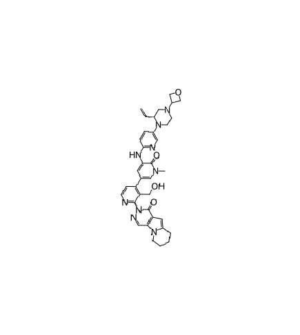 C=C[C@H]1CN(C2COC2)CCN1c1ccc(Nc2cc(-c3ccnc(-n4ncc5c(cc6n5CCCC6)c4=O)c3CO)cn(C)c2=O)nc1